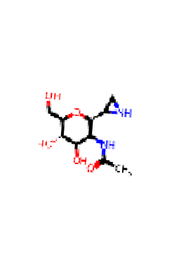 CC(=O)NC1C(O)[C@H](O)C(CO)O[C@H]1C1CN1